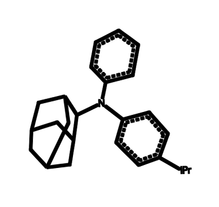 CC(C)c1ccc(N(c2ccccc2)C2C3CC4CC(C3)CC2C4)cc1